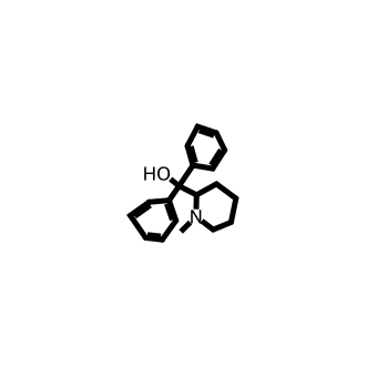 CN1CCCCC1C(O)(c1ccccc1)c1ccccc1